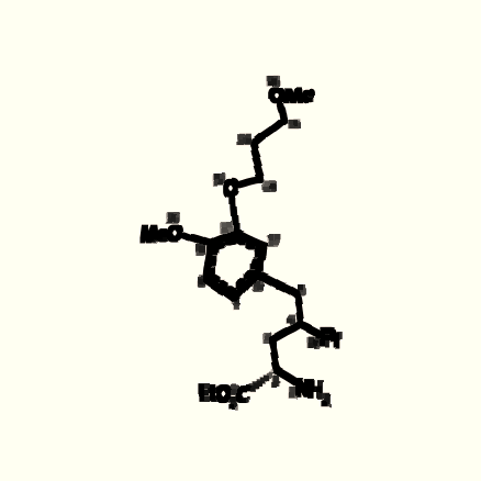 CCOC(=O)[C@@H](N)CC(Cc1ccc(OC)c(OCCCOC)c1)C(C)C